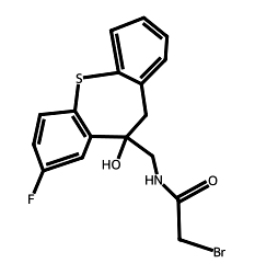 O=C(CBr)NCC1(O)Cc2ccccc2Sc2ccc(F)cc21